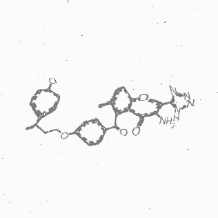 Cc1ccc2oc(-c3nnn[nH]3)c(N)c(=O)c2c1C(=O)c1ccc(OCCC(C)c2ccc(Cl)cc2)cc1